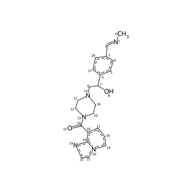 C/N=C/c1ccc(C(O)CN2CCN(C(=O)c3cccn4ccnc34)CC2)cc1